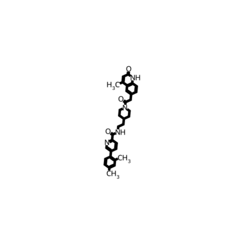 Cc1ccc(-c2ccc(C(=O)NCCC3CCN(C(=O)Cc4ccc5[nH]c(=O)cc(C)c5c4)CC3)nc2)c(C)c1